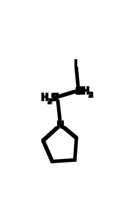 I[SiH2][SiH2]N1CCCC1